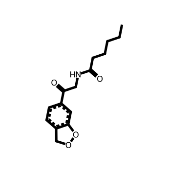 CCCCCC(=O)NCC(=O)c1ccc2c(c1)OOC2